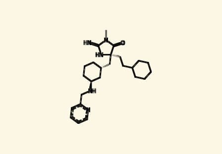 CN1C(=N)N[C@](CCC2CCCCC2)(C[C@H]2CCC[C@H](NCc3ccccn3)C2)C1=O